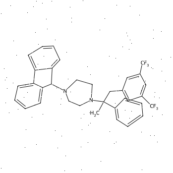 [CH2]C(Cc1cc(C(F)(F)F)cc(C(F)(F)F)c1)(c1ccccc1)N1CCN(C2c3ccccc3-c3ccccc32)CC1